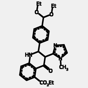 CCOC(=O)c1cccc2c1C(=O)C(c1nccn1C)C(c1ccc(C(OCC)OCC)cc1)N2